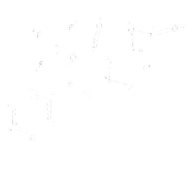 O=C(OC(F)(F)F)C1C(C[CH]c2ccccc2)C[CH]C12OC2=O